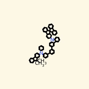 CC1(C)c2ccccc2-c2ccc(N(c3ccccc3)c3cccc(-c4cccc(-c5ccc6c(c5)c5ccccc5n6C5C=CC6=C(C5)C5(c7ccccc76)c6ccccc6-c6ccccc65)c4)c3)cc21